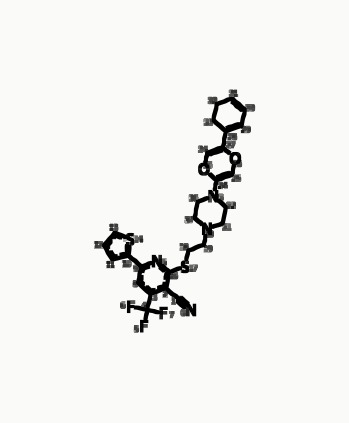 N#Cc1c(C(F)(F)F)cc(-c2cccs2)nc1SCCN1CCN(C2=COC(C3=CC=CCC3)=CO2)CC1